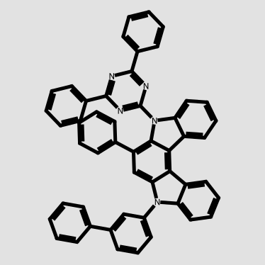 c1ccc(-c2cccc(-n3c4ccccc4c4c5c6ccccc6n(-c6nc(-c7ccccc7)nc(-c7ccccc7)n6)c5c(-c5ccccc5)cc43)c2)cc1